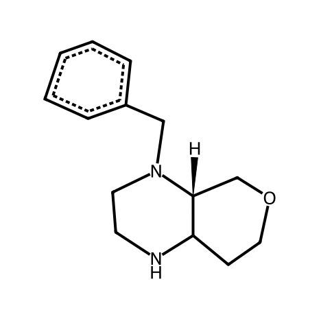 c1ccc(CN2CCNC3CCOC[C@H]32)cc1